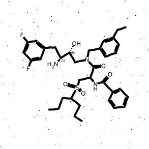 CCCC(CCC)S(=O)(=O)CC(NC(=O)c1ccccc1)C(=O)N(Cc1cccc(CC)c1)C[C@@H](O)[C@@H](N)Cc1cc(F)cc(F)c1